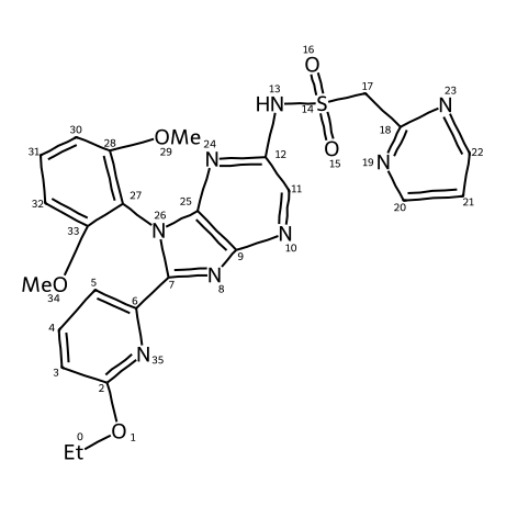 CCOc1cccc(-c2nc3ncc(NS(=O)(=O)Cc4ncccn4)nc3n2-c2c(OC)cccc2OC)n1